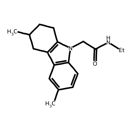 CCNC(=O)Cn1c2c(c3cc(C)ccc31)CC(C)CC2